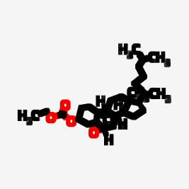 CCOC(=O)O[C@H]1CC[C@]2(C)[C@H]3CC[C@]4(C)[C@@H]([C@H](C)CCCC(C)C)CC[C@H]4[C@@H]3C[C@@H]3OC32C1